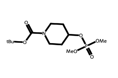 COP(=O)(OC)OC1CCN(C(=O)OC(C)(C)C)CC1